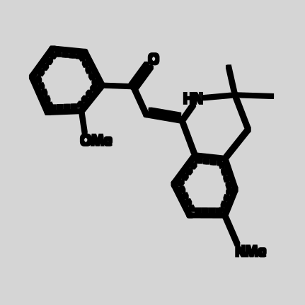 CNc1ccc2c(c1)CC(C)(C)NC2=CC(=O)c1ccccc1OC